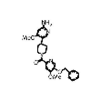 COc1cc(C(=O)N2CCC(c3cnc(N)cc3OC)CC2)ncc1OCc1ccccc1